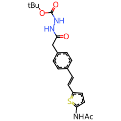 CC(=O)Nc1ccc(C=Cc2ccc(CC(=O)NNC(=O)OC(C)(C)C)cc2)s1